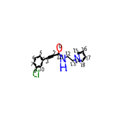 O=C(C#Cc1cccc(Cl)c1)NCCn1cccc1